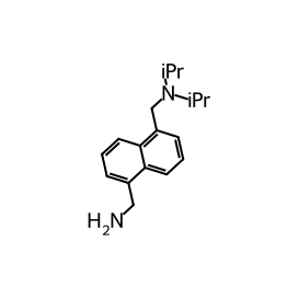 CC(C)N(Cc1cccc2c(CN)cccc12)C(C)C